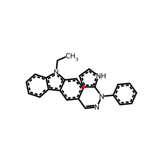 CCn1c2ccccc2c2cc(/C=N\N(c3ccccc3)c3ccc[nH]3)ccc21